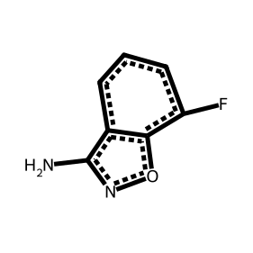 Nc1noc2c(F)cccc12